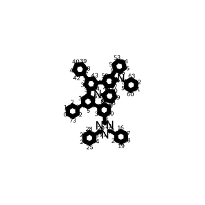 c1ccc(-c2cc(-c3cccc(-c4nc(-c5ccccc5)nc(-c5ccccc5)n4)c3)c3c(c2)c2cc(-c4ccccc4)cc(-c4ccc5c(c4)c4ccccc4n5-c4ccccc4)c2n3-c2ccccc2)cc1